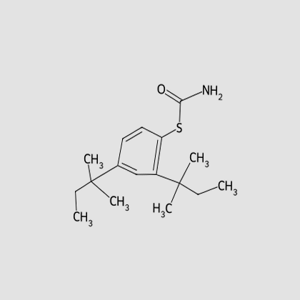 CCC(C)(C)c1ccc(SC(N)=O)c(C(C)(C)CC)c1